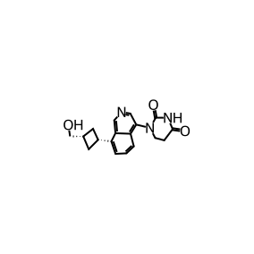 O=C1CCN(c2cncc3c2cccc3[C@H]2C[C@@H](CO)C2)C(=O)N1